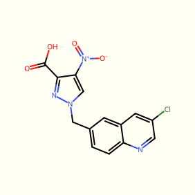 O=C(O)c1nn(Cc2ccc3ncc(Cl)cc3c2)cc1[N+](=O)[O-]